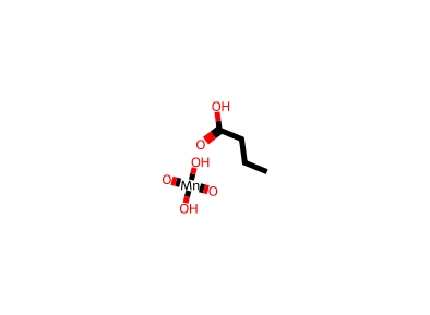 CCCC(=O)O.[O]=[Mn](=[O])([OH])[OH]